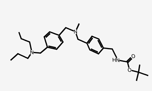 CCCN(CCC)Cc1ccc(CN(C)Cc2ccc(CNC(=O)OC(C)(C)C)cc2)cc1